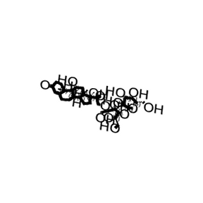 C[C@]12CCC(=O)C=C1CC[C@@H]1[C@@H]2[C@@H](O)C[C@@]2(C)[C@H]1CC[C@]2(O)C(=O)COC1(CO)O[C@H](CO)[C@@H](O[C@H]2O[C@@H](CO)[C@@H](O)[C@@H](O)[C@@H]2O)[C@@H]1O